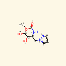 CC(C)(C)OC(=O)NC(Cn1cccn1)C(O)CO